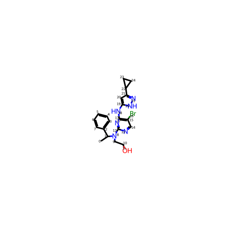 CC(c1ccccc1)N(CCO)c1ncc(Br)c(Nc2cc(C3CC3)n[nH]2)n1